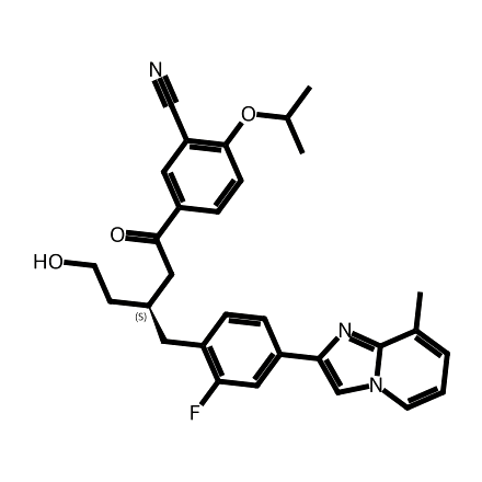 Cc1cccn2cc(-c3ccc(C[C@@H](CCO)CC(=O)c4ccc(OC(C)C)c(C#N)c4)c(F)c3)nc12